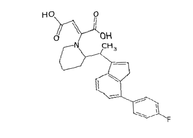 CC(C1=CCc2c1cccc2-c1ccc(F)cc1)C1CCCCN1/C(=C\C(=O)O)C(=O)O